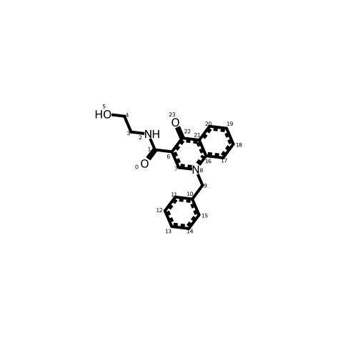 O=C(NCCO)c1cn(Cc2ccccc2)c2ccccc2c1=O